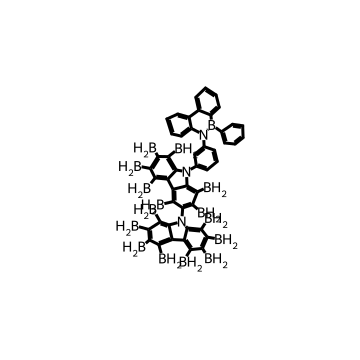 Bc1c(B)c(B)c2c(c1B)c1c(B)c(-n3c4c(B)c(B)c(B)c(B)c4c4c(B)c(B)c(B)c(B)c43)c(B)c(B)c1n2-c1cccc(N2B(c3ccccc3)c3ccccc3-c3ccccc32)c1